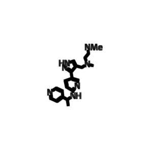 CNCCN(C)Cc1c[nH]nc1-c1ccc(NC(C)c2ccncc2)nc1